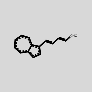 O=CC=CC=Cc1ccc2cccccc1-2